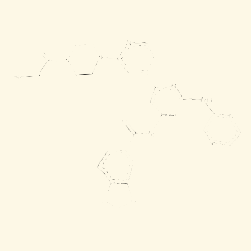 CC(C)(C)OC(=O)N1CCN(c2cc(-c3cc(NC(=O)c4ccc5c(c4)OCO5)cc(Nc4cnccn4)n3)ccn2)CC1